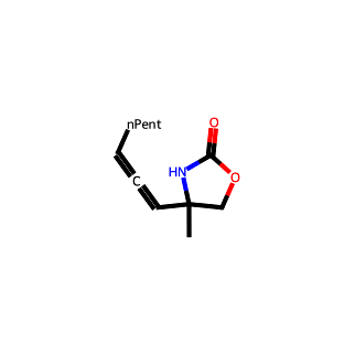 CCCCCC=C=CC1(C)COC(=O)N1